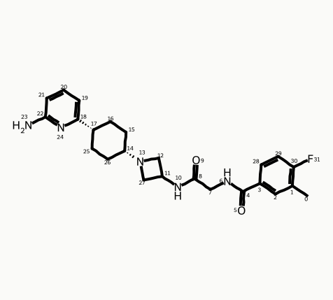 Cc1cc(C(=O)NCC(=O)NC2CN([C@H]3CC[C@@H](c4cccc(N)n4)CC3)C2)ccc1F